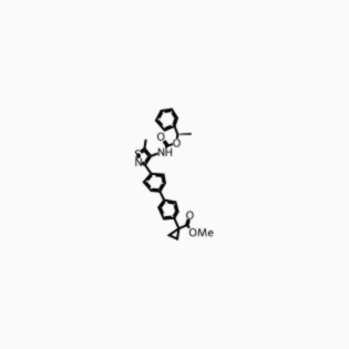 COC(=O)C1(c2ccc(-c3ccc(-c4nsc(C)c4NC(=O)O[C@H](C)c4ccccc4)cc3)cc2)CC1